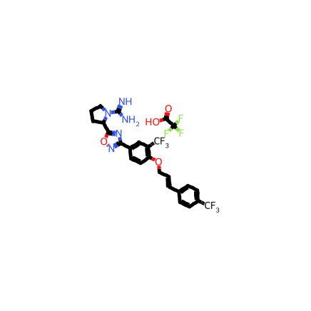 N=C(N)N1CCCC1c1nc(-c2ccc(OCC=Cc3ccc(C(F)(F)F)cc3)c(C(F)(F)F)c2)no1.O=C(O)C(F)(F)F